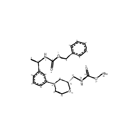 CC(NC(=O)OCc1ccccc1)c1cccc(N2CCO[C@@H](CNC(=O)OC(C)(C)C)C2)c1